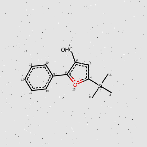 C[Si](C)(C)c1cc(C=O)c(-c2ccccc2)o1